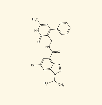 Cc1cc(-c2ccccc2)c(CNC(=O)c2cc(Br)cc3c2ccn3C(C)C)c(=O)[nH]1